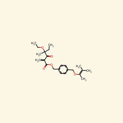 C=C(C(=O)OCc1ccc(COC(C)=C(C)C)cc1)C(=O)C(C)(CC)OCC